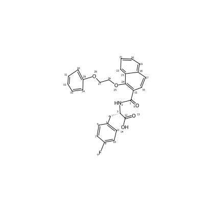 O=C(N[C@@H](Cc1ccc(F)cc1)C(=O)O)c1ccc2ccccc2c1OCCOc1ccccc1